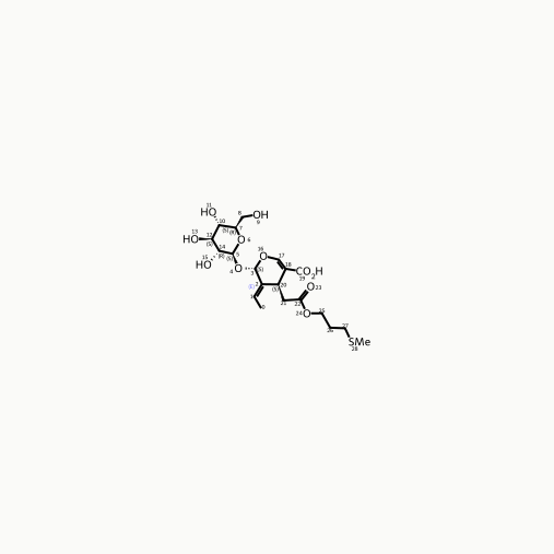 C/C=C1/[C@H](O[C@@H]2O[C@H](CO)[C@@H](O)[C@H](O)[C@H]2O)OC=C(C(=O)O)[C@H]1CC(=O)OCCCSC